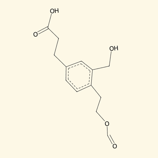 O=COCCc1ccc(CCC(=O)O)cc1CO